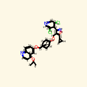 CC(C)Oc1ccnc2ccc(OCC34CCC(OCc5c(-c6c(Cl)cncc6Cl)noc5C5CC5)(CC3)CC4)cc12